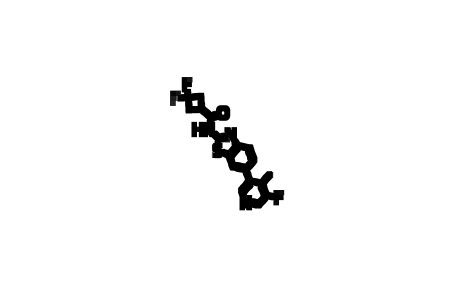 Cc1c(F)cncc1-c1ccc2nc(NC(=O)C3CC(F)(F)C3)sc2c1